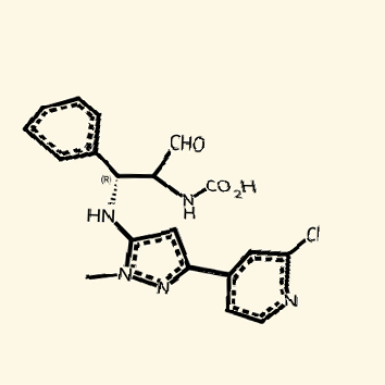 Cn1nc(-c2ccnc(Cl)c2)cc1N[C@H](c1ccccc1)C(C=O)NC(=O)O